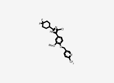 COc1cc(-c2[nH]c(C3CCC(F)(F)CC3)nc2Cl)ccc1OCc1ccc(C(F)(F)F)nc1